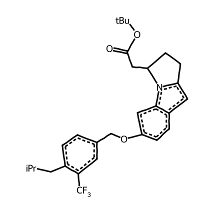 CC(C)Cc1ccc(COc2ccc3cc4n(c3c2)C(CC(=O)OC(C)(C)C)CC4)cc1C(F)(F)F